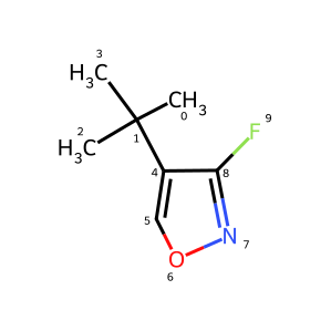 CC(C)(C)c1conc1F